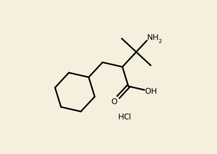 CC(C)(N)C(CC1CCCCC1)C(=O)O.Cl